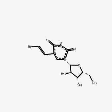 O=c1[nH]c(=O)n([C@@H]2O[C@H](CO)[C@H](O)[C@H]2O)cc1/C=C/Br